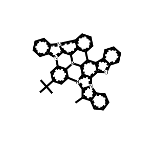 Cc1c2ccccc2n2c3c4oc5ccccc5c4c4c5c3n(c12)-c1cc(C(C)(C)C)cc2c1B5c1c3c-4cccc3n3c4ccccc4n-2c13